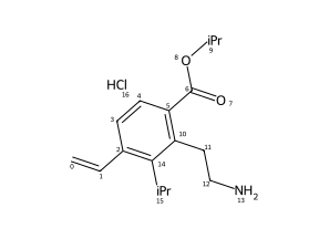 C=Cc1ccc(C(=O)OC(C)C)c(CCN)c1C(C)C.Cl